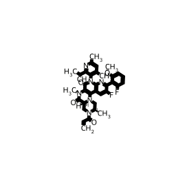 C=CC(=O)N1C[C@@H]2C(=O)N(C)c3c(c4cc(F)c(-c5c(F)cccc5OC)nc4n(-c4c(C)cc(C)nc4C(C)C)c3=O)N2C[C@H]1C